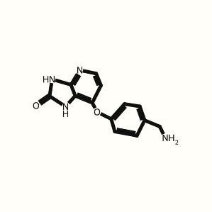 NCc1ccc(Oc2ccnc3[nH]c(=O)[nH]c23)cc1